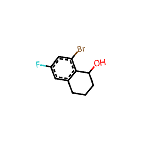 OC1CCCc2cc(F)cc(Br)c21